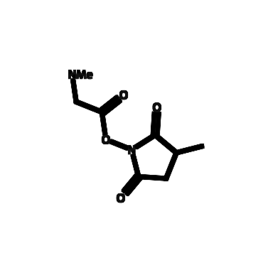 CNCC(=O)ON1C(=O)CC(C)C1=O